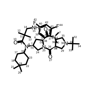 CN(C)C(=O)[C@@H]1C[C@H](N(C(=O)C(C)(C)CN)C2CCC(C)(C)CC2)CN1C(=O)[C@@H]1CN(C(C)(C)C)C[C@H]1c1ccc(F)cc1F